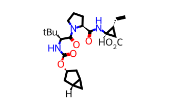 C=C[C@@H]1C[C@]1(NC(=O)[C@@H]1CCCN1C(=O)[C@@H](NC(=O)O[C@@H]1CC2C[C@@H]2C1)C(C)(C)C)C(=O)O